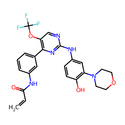 C=CC(=O)Nc1cccc(-c2nc(Nc3ccc(O)c(N4CCOCC4)c3)ncc2OC(F)(F)F)c1